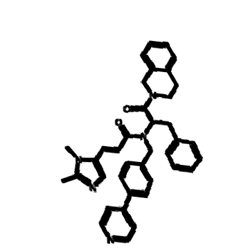 Cc1ncc(C=CC(=O)N(Cc2ccc(-c3ccncc3)cc2)C(Cc2ccccc2)C(=O)N2CCc3ccccc3C2)n1C